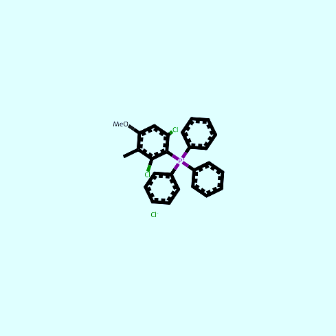 COc1cc(Cl)c([P+](c2ccccc2)(c2ccccc2)c2ccccc2)c(Cl)c1C.[Cl-]